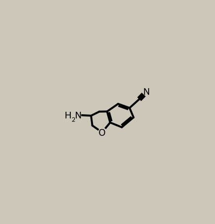 N#Cc1ccc2c(c1)CC(N)CO2